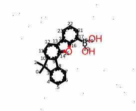 CC1(C)c2ccccc2-c2c1ccc1c2oc2c(B(O)O)cccc21